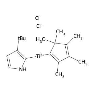 CC1=C(C)C(C)(C)[C]([Ti+2][c]2[nH]ccc2C(C)(C)C)=C1C.[Cl-].[Cl-]